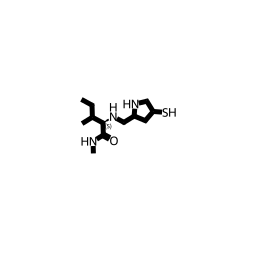 CCC(C)[C@H](NCC1CC(S)CN1)C(=O)NC